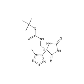 Cc1nonc1[C@@]1(CNC(=O)OC(C)(C)C)NC(=O)NC1=O